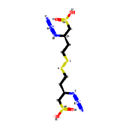 [N-]=[N+]=N[C@H](CCSSCC[C@H](CS(=O)O)N=[N+]=[N-])CS(=O)O